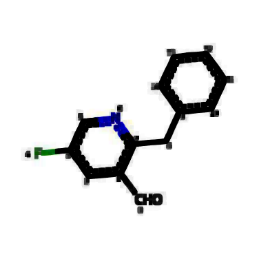 O=Cc1cc(F)cnc1Cc1ccccc1